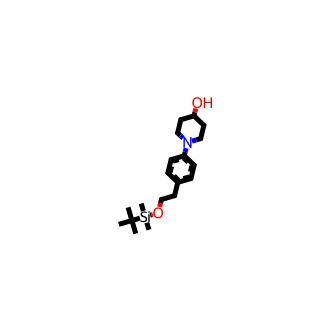 CC(C)(C)[Si](C)(C)OCCc1ccc(N2CCC(O)CC2)cc1